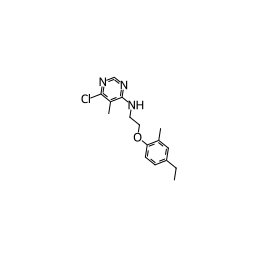 CCc1ccc(OCCNc2ncnc(Cl)c2C)c(C)c1